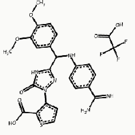 COc1ccc(C(Nc2ccc(C(=N)N)cc2)c2nn(-c3ccsc3C(=O)O)c(=O)[nH]2)cc1OC.O=C(O)C(F)(F)F